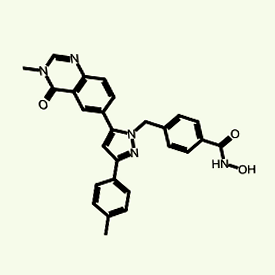 Cc1ccc(-c2cc(-c3ccc4ncn(C)c(=O)c4c3)n(Cc3ccc(C(=O)NO)cc3)n2)cc1